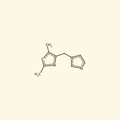 Cc1nc(Cn2ccnc2)c(C)s1